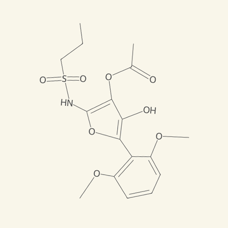 CCCS(=O)(=O)Nc1oc(-c2c(OC)cccc2OC)c(O)c1OC(C)=O